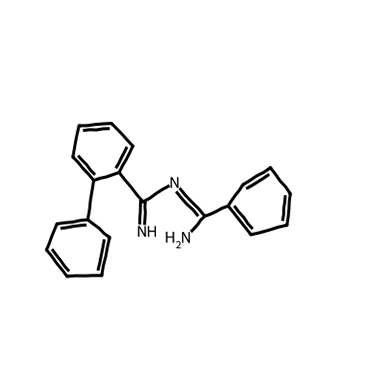 N=C(/N=C(\N)c1ccccc1)c1ccccc1-c1ccccc1